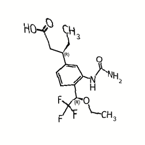 CCO[C@H](c1ccc([C@H](CC)CC(=O)O)cc1NC(N)=O)C(F)(F)F